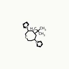 CC(C)(C)C1CC(n2cccc2)CCCCC(n2cccc2)C1